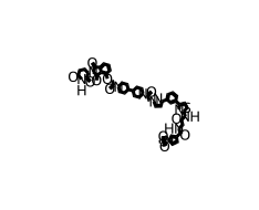 CS(=O)(=O)n1ccc(C(=O)NCC(=O)Nc2nc(-c3cccc(-c4ccn(CC(=O)N5CCC(C6CCN(C(=O)COc7cccc8c7C(=O)N(C7CCC(=O)NC7=O)C8=O)CC6)CC5)n4)c3)cs2)c1